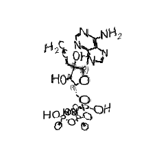 C=C=C[C@@]1(O)[C@H](O)[C@@H](COP(=O)(O)OP(=O)(O)OP(=O)(O)O)O[C@H]1n1cnc2c(N)ncnc21